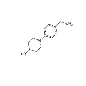 NCc1ccc(N2CCC(O)CC2)cc1